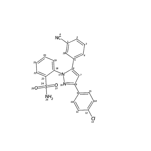 N#Cc1cccc(-c2cc(-c3ccc(Cl)cc3)nn2-c2ccccc2S(N)(=O)=O)c1